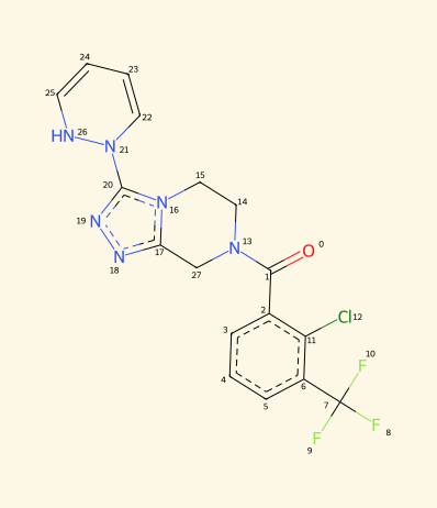 O=C(c1cccc(C(F)(F)F)c1Cl)N1CCn2c(nnc2N2C=CC=CN2)C1